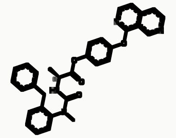 C[C@H](NC(=O)N(C)c1ccccc1Cc1ccccc1)C(=O)Oc1ccc(Oc2nccc3ccncc23)cc1